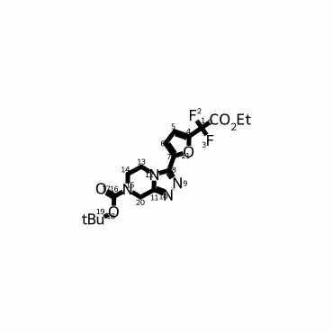 CCOC(=O)C(F)(F)c1ccc(-c2nnc3n2CCN(C(=O)OC(C)(C)C)C3)o1